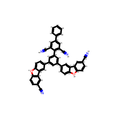 N#Cc1ccc2oc3ccc(-c4cc(-c5ccc6oc7ccc(C#N)cc7c6c5)cc(-c5c(C#N)cc(-c6ccccc6)cc5C#N)c4)cc3c2c1